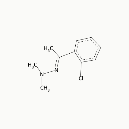 CC(=NN(C)C)c1ccccc1Cl